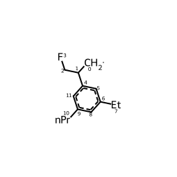 [CH2]C(CF)c1cc(CC)cc(CCC)c1